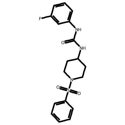 O=C(Nc1cccc(F)c1)NC1CCN(S(=O)(=O)c2ccccc2)CC1